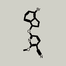 COc1nc(OC2CCc3c(Br)cccc32)ccc1C#N